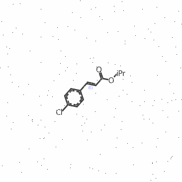 CC(C)OC(=O)/C=C/c1ccc(Cl)cc1